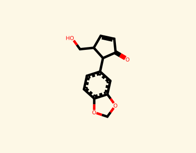 O=C1C=CC(CO)C1c1ccc2c(c1)OCO2